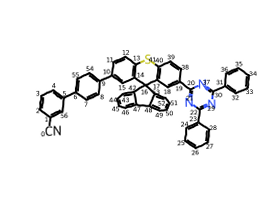 N#Cc1cccc(-c2ccc(-c3ccc4c(c3)C3(c5cc(-c6nc(-c7ccccc7)nc(-c7ccccc7)n6)ccc5S4)c4ccccc4-c4ccccc43)cc2)c1